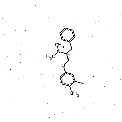 Bc1ccc(OC[C@H](Cc2ccccc2)N(C)C)cc1F